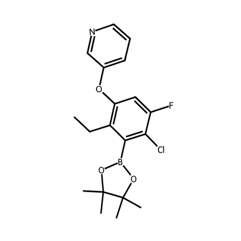 CCc1c(Oc2cccnc2)cc(F)c(Cl)c1B1OC(C)(C)C(C)(C)O1